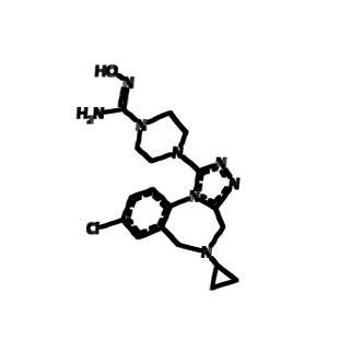 N/C(=N\O)N1CCN(c2nnc3n2-c2ccc(Cl)cc2CN(C2CC2)C3)CC1